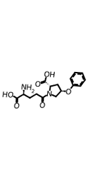 N[C@@H](CCC(=O)N1C[C@H](Oc2ccccc2)C[C@H]1C(=O)O)C(=O)O